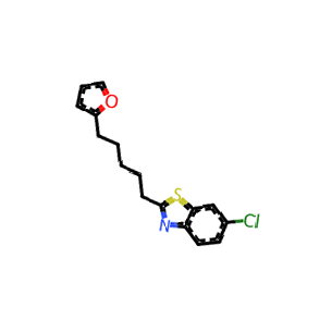 Clc1ccc2nc(CCCCCc3ccco3)sc2c1